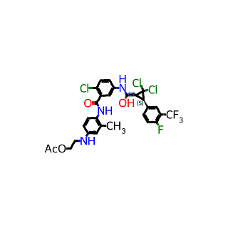 CC(=O)OCCNc1ccc(NC(=O)c2cc(N/C(O)=C3/[C@H](c4ccc(F)c(C(F)(F)F)c4)C3(Cl)Cl)ccc2Cl)c(C)c1